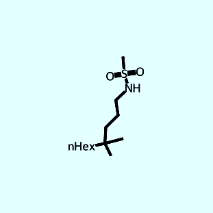 CCCCCCC(C)(C)CCCNS(C)(=O)=O